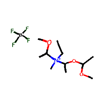 CC[N+](C)(C(C)OC)C(C)OC(C)OC.F[B-](F)(F)F